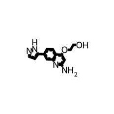 Nc1cc(OCCO)c2ccc(-c3ccn[nH]3)cc2n1